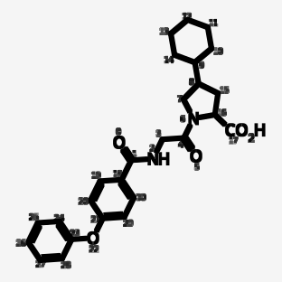 O=C(NCC(=O)N1CC(C2CCCCC2)CC1C(=O)O)c1ccc(Oc2ccccc2)cc1